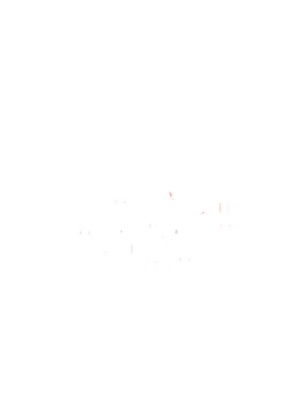 CCOP(=O)(OCC)C(F)(F)C[C@H]1O[C@](OC(C)=O)(C(C)=O)[C@H](O)[C@@H]1OCc1ccccc1